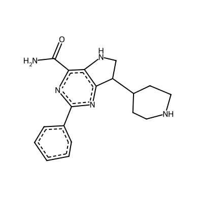 NC(=O)c1nc(-c2ccccc2)nc2c1NCC2C1CCNCC1